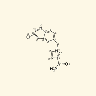 NC(=O)c1cn(Cc2ccc3ncc(Cl)cc3c2)cn1